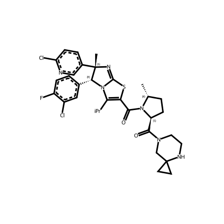 CC(C)C1=C(C(=O)N2[C@H](C)CC[C@H]2C(=O)N2CCNC3(CC3)C2)SC2=N[C@@](C)(c3ccc(Cl)nc3)[C@@H](c3ccc(F)c(Cl)c3)N21